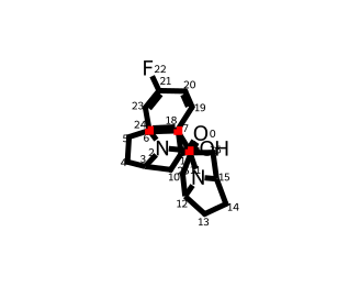 O=C(N1C2CCC1CC(O)C2)N1C2CCC1CC(c1ccc(F)cc1)C2